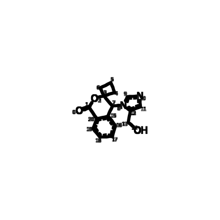 O=C1OC2(CCC2)C(n2cncc2CO)c2ccccc21